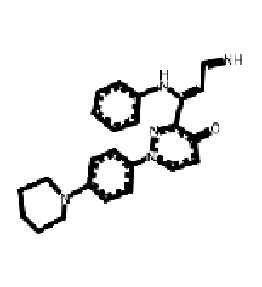 N=C/C=C(\Nc1ccccc1)c1nn(-c2ccc(N3CCCCC3)cc2)ccc1=O